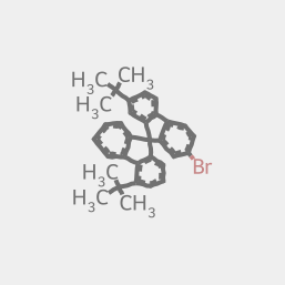 CC(C)(C)c1ccc2c(c1)C1(c3cc(Br)ccc3-2)c2ccccc2-c2c(C(C)(C)C)cccc21